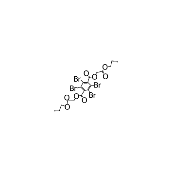 C=CCOC(=O)COC(=O)c1c(Br)c(Br)c(C(=O)OCC(=O)OCC=C)c(Br)c1Br